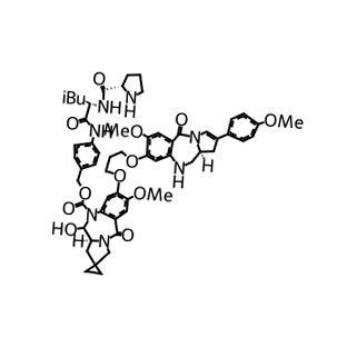 CC[C@H](C)[C@H](NC(=O)[C@@H]1CCCN1)C(=O)Nc1ccc(COC(=O)N2c3cc(OCCCOc4cc5c(cc4OC)C(=O)N4C=C(c6ccc(OC)cc6)C[C@H]4CN5)c(OC)cc3C(=O)N3CC4(CC4)C[C@H]3C2O)cc1